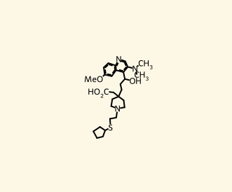 COc1ccc2ncc(N(C)C)c(C(O)CCC3(CC(=O)O)CCN(CCSC4CCCC4)CC3)c2c1